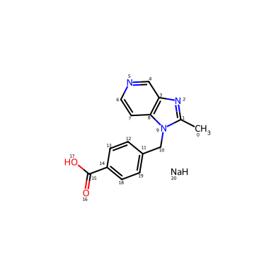 Cc1nc2cnccc2n1Cc1ccc(C(=O)O)cc1.[NaH]